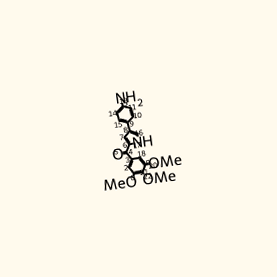 COc1cc(C(=O)c2cc(-c3ccc(N)cc3)c[nH]2)cc(OC)c1OC